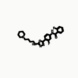 O=C(Nc1ccc(-c2nnc(NCCCCN3CCCCC3)o2)c(F)c1)c1ccccc1F